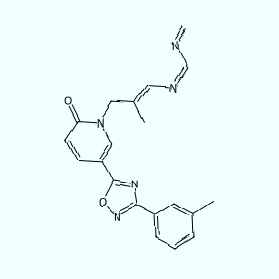 C=N/C=N\C=C(/C)Cn1cc(-c2nc(-c3cccc(C)c3)no2)ccc1=O